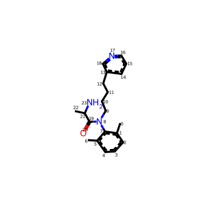 Cc1cccc(C)c1N(CCCCc1cccnc1)C(=O)C(C)N